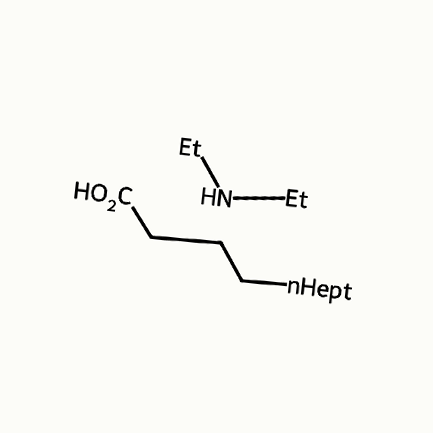 CCCCCCCCCCC(=O)O.CCNCC